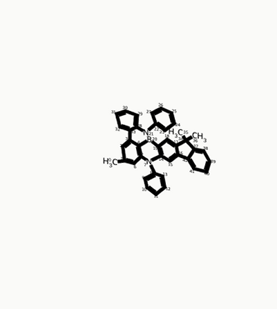 Cc1cc2c3c(c1)N(c1ccccc1)c1cc4c(cc1B3N(c1ccccc1)c1ccccc1-2)C(C)(C)c1ccccc1-4